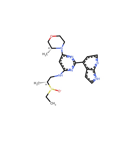 CC[S+]([O-])[C@H](C)CNc1cc(N2CCOC[C@H]2C)nc(-c2ccnc3[nH]ccc23)n1